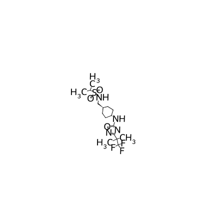 CC(C)S(=O)(=O)NC[C@H]1CC[C@H](Nc2nc(C(C)(C)C(F)(F)F)no2)CC1